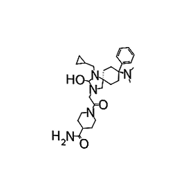 CN(C)[C@]1(c2ccccc2)CC[C@]2(CC1)CN(CC(=O)N1CCC(C(N)=O)CC1)C(O)N2CC1CC1